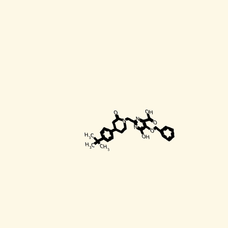 CC(C)(C)c1ccc(C2CCN(Cc3nc(O)c(OCc4ccccc4)c(C(=O)O)n3)C(=O)C2)cc1